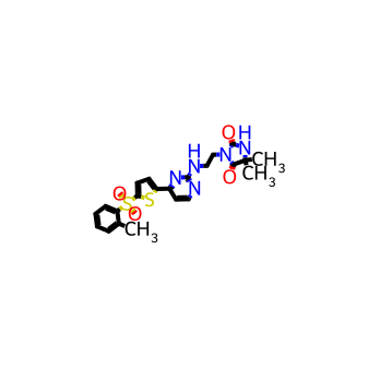 Cc1ccccc1S(=O)(=O)c1ccc(-c2ccnc(NCCN3C(=O)NC(C)(C)C3=O)n2)s1